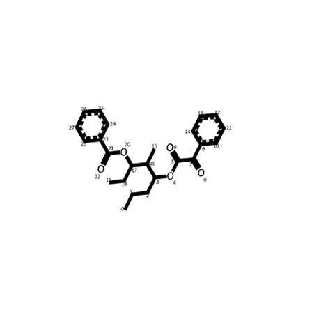 CCCC(OC(=O)C(=O)c1ccccc1)C(C)C(CC)OC(=O)c1ccccc1